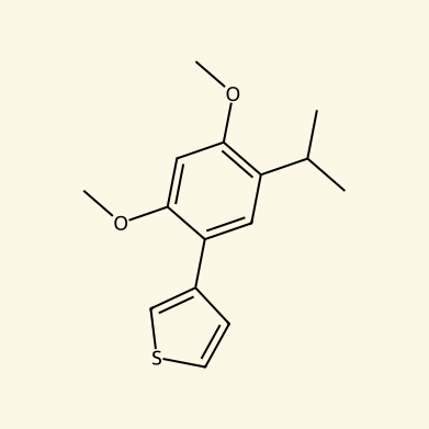 COc1cc(OC)c(C(C)C)cc1-c1ccsc1